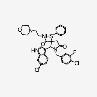 O=C1C[C@@](Sc2ccccc2)(C(=O)NCCN2CCOCC2)C(c2c[nH]c3cc(Cl)ccc23)N1Cc1ccc(Cl)c(F)c1